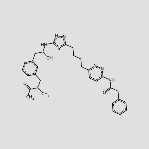 CC(=O)N(C)Cc1cccc(CC(O)Nc2nnc(CCCCc3ccc(NC(=O)Cc4ccccc4)nn3)s2)c1